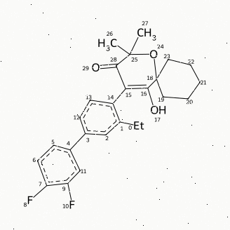 CCc1cc(-c2ccc(F)c(F)c2)ccc1C1=C(O)C2(CCCCC2)OC(C)(C)C1=O